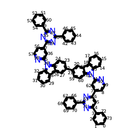 c1ccc(-c2cc(-c3ccnc(-n4c5ccccc5c5cc(-c6ccc7c(c6)c6ccccc6n7-c6cc(-c7nc(-c8ccccc8)nc(-c8ccccc8)n7)ccn6)ccc54)c3)nc(-c3ccccc3)n2)cc1